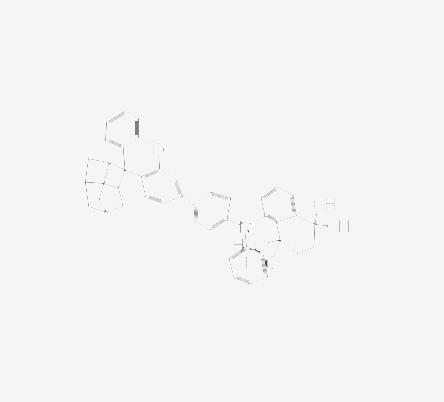 CC1(C)CCC(C)(C)c2c(N(c3ccccc3)c3ccc(-c4ccc5c(c4)Oc4ccccc4C54C5CC6CC7CC4C75C6)cc3)cccc21